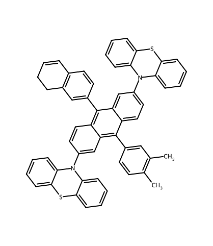 Cc1ccc(-c2c3ccc(N4c5ccccc5Sc5ccccc54)cc3c(-c3ccc4c(c3)CCC=C4)c3ccc(N4c5ccccc5Sc5ccccc54)cc23)cc1C